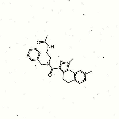 CC(=O)NCCN(Cc1ccccc1)C(=O)c1nn(C)c2c1CCc1ccc(C)cc1-2